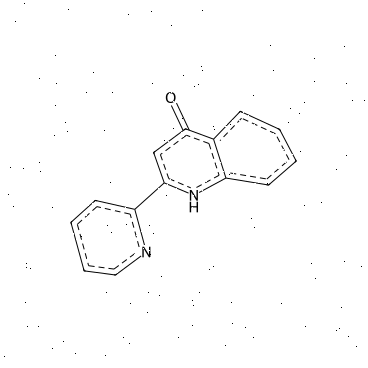 O=c1cc(-c2ccccn2)[nH]c2ccccc12